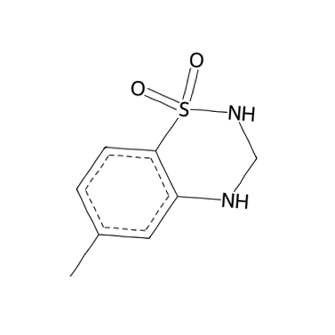 Cc1ccc2c(c1)NCNS2(=O)=O